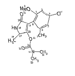 COc1cc(Cl)cc(C)c1C1=C(OC(=O)N(C)C)C(C)NC1=O